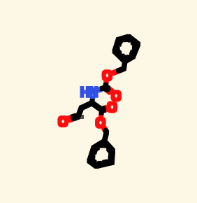 O=[C]CC(NC(=O)OCc1ccccc1)C(=O)OCc1ccccc1